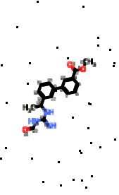 COC(=O)c1cccc(-c2cccc(C(C)NC(=N)NC=O)c2)c1